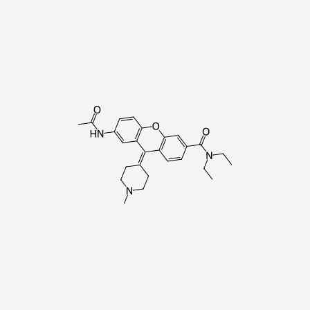 CCN(CC)C(=O)c1ccc2c(c1)Oc1ccc(NC(C)=O)cc1C2=C1CCN(C)CC1